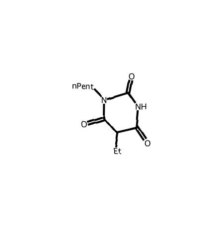 CCCCCN1C(=O)NC(=O)C(CC)C1=O